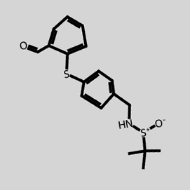 CC(C)(C)[S+]([O-])NCc1ccc(Sc2ccccc2C=O)cc1